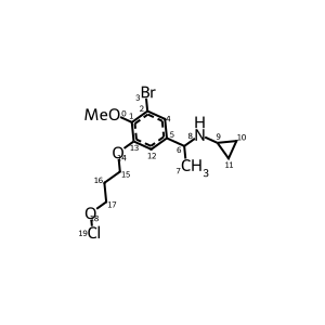 COc1c(Br)cc(C(C)NC2CC2)cc1OCCCOCl